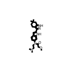 COCC(=O)N(CCN(C)C)c1ccc2cc(-c3n[nH]c4c3CCC(C)(C)C4)[nH]c2c1